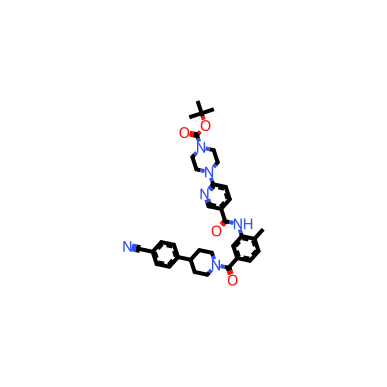 Cc1ccc(C(=O)N2CCC(c3ccc(C#N)cc3)CC2)cc1NC(=O)c1ccc(N2CCN(C(=O)OC(C)(C)C)CC2)nc1